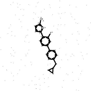 Fc1cc(-c2ccc(CC3CC3)cc2)ccc1-c1ccc(C(F)(F)F)s1